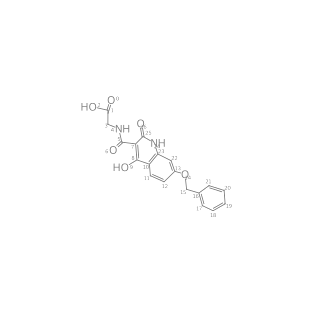 O=C(O)CNC(=O)c1c(O)c2ccc(OCc3ccccc3)cc2[nH]c1=O